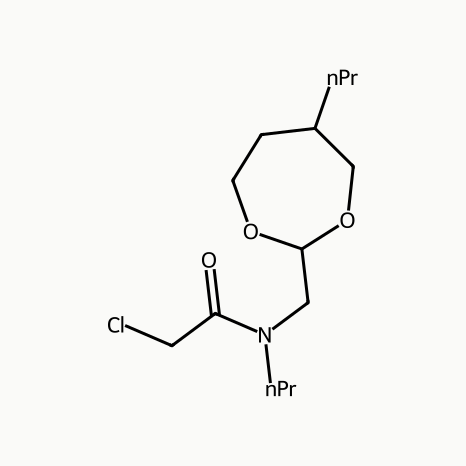 CCCC1CCOC(CN(CCC)C(=O)CCl)OC1